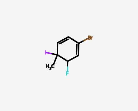 CC1(I)C=CC(Br)=CC1F